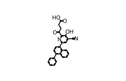 N#Cc1cc(-c2ccc(-c3ccccc3)c3ccccc23)nc(C(=O)CCC(=O)O)c1O